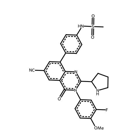 COc1ccc(-n2c(C3CCCN3)nc3c(-c4ccc(NS(C)(=O)=O)cc4)cc(C#N)cc3c2=O)cc1F